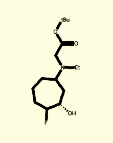 CCN(CC(=O)OC(C)(C)C)C1CCCC(F)[C@@H](O)C1